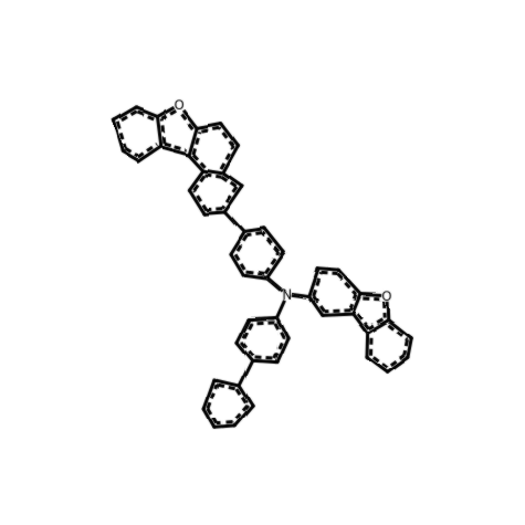 c1ccc(-c2ccc(N(c3ccc(-c4ccc5c(ccc6oc7ccccc7c65)c4)cc3)c3ccc4oc5ccccc5c4c3)cc2)cc1